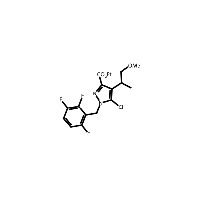 CCOC(=O)c1nn(Cc2c(F)ccc(F)c2F)c(Cl)c1C(C)COC